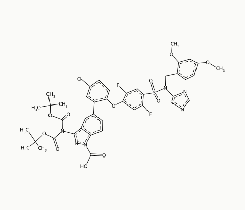 COc1ccc(CN(c2ncns2)S(=O)(=O)c2cc(F)c(Oc3ccc(Cl)cc3-c3ccc4c(c3)c(N(C(=O)OC(C)(C)C)C(=O)OC(C)(C)C)nn4C(=O)O)cc2F)c(OC)c1